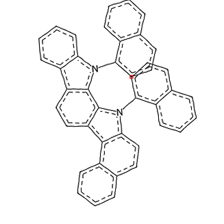 c1ccc2c(-n3c4ccccc4c4ccc5c6c7ccccc7ccc6n(-c6cccc7ccccc67)c5c43)cccc2c1